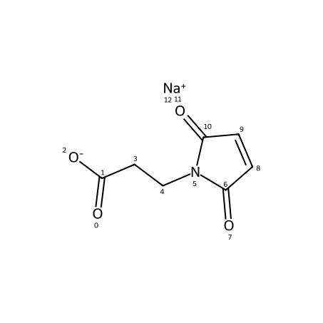 O=C([O-])CCN1C(=O)C=CC1=O.[Na+]